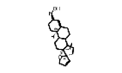 CC[C@]12CCC3C(CCC4=CC(=NO)CC[C@@H]43)C1CC[C@@]21C=CCO1